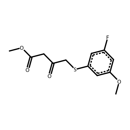 COC(=O)CC(=O)CSc1cc(F)cc(OC)c1